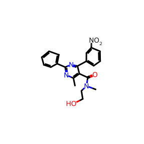 Cc1nc(-c2ccccc2)nc(-c2cccc([N+](=O)[O-])c2)c1C(=O)N(C)CCO